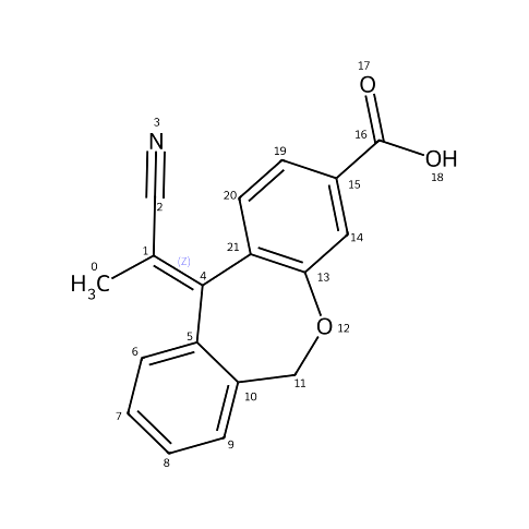 C/C(C#N)=C1\c2ccccc2COc2cc(C(=O)O)ccc21